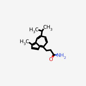 Cc1ccc2c(CCC(N)=O)ccc(C(C)C)cc1-2